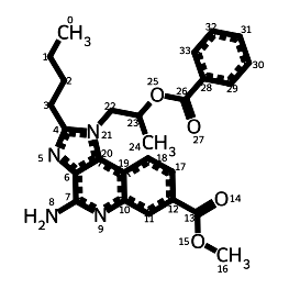 CCCCc1nc2c(N)nc3cc(C(=O)OC)ccc3c2n1CC(C)OC(=O)c1ccccc1